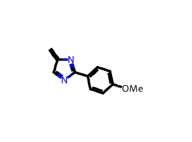 C=C1C=NC(c2ccc(OC)cc2)=N1